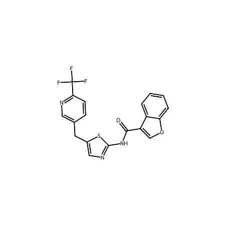 O=C(Nc1ncc(Cc2ccc(C(F)(F)F)nc2)s1)c1coc2ccccc12